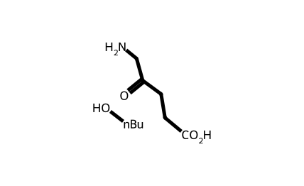 CCCCO.NCC(=O)CCC(=O)O